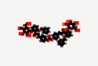 O=C(Oc1ccc(C=CC(=O)c2c(OCc3ccccc3)cccc2O[C@@H]2O[C@H](CO)[C@@H](O)[C@H](O)[C@H]2O)cc1)Oc1ccc(C=CC(=O)c2c(OCc3ccccc3)cccc2O[C@@H]2O[C@H](CO)[C@@H](O)[C@H](O)[C@H]2O)cc1